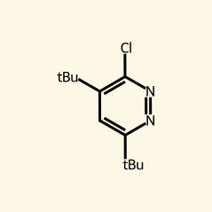 CC(C)(C)c1cc(C(C)(C)C)c(Cl)nn1